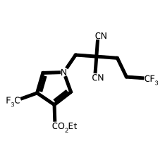 CCOC(=O)c1cn(CC(C#N)(C#N)CCC(F)(F)F)cc1C(F)(F)F